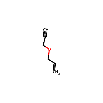 C#CCO[CH]C=C